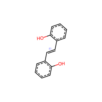 Oc1ccccc1/C=C/c1ccccc1O